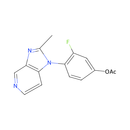 CC(=O)Oc1ccc(-n2c(C)nc3cnccc32)c(F)c1